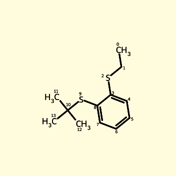 CCSc1ccccc1SC(C)(C)C